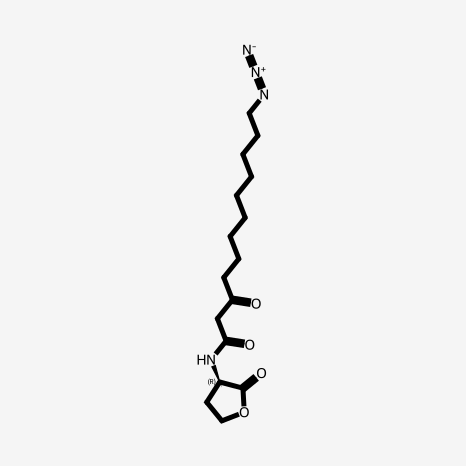 [N-]=[N+]=NCCCCCCCCCC(=O)CC(=O)N[C@@H]1CCOC1=O